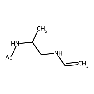 C=CNCC(C)NC(C)=O